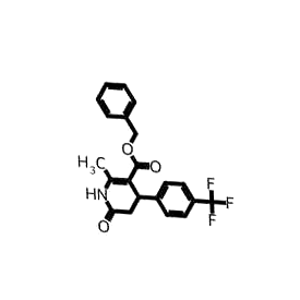 CC1=C(C(=O)OCc2ccccc2)C(c2ccc(C(F)(F)F)cc2)CC(=O)N1